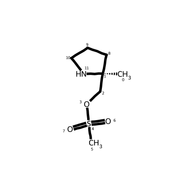 C[C@@]1(COS(C)(=O)=O)CCCN1